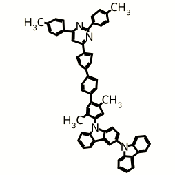 Cc1ccc(-c2cc(-c3ccc(-c4ccc(-c5cc(C)c(-n6c7ccccc7c7cc(-n8c9ccccc9c9ccccc98)ccc76)cc5C)cc4)cc3)nc(-c3ccc(C)cc3)n2)cc1